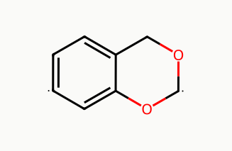 [c]1ccc2c(c1)O[CH]OC2